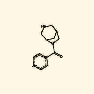 O=C(c1ccncc1)N1CC2CNCC1C2